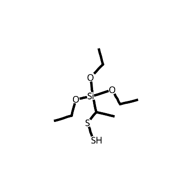 CCO[Si](OCC)(OCC)C(C)SS